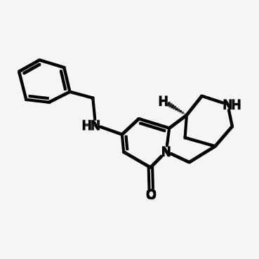 O=c1cc(NCc2ccccc2)cc2n1CC1CNC[C@H]2C1